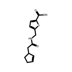 O=C(CC1C=CCC1)NCc1ccc(C(=O)O)s1